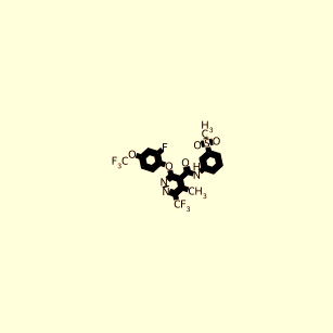 Cc1c(C(F)(F)F)nnc(Oc2ccc(OC(F)(F)F)cc2F)c1C(=O)Nc1cccc(S(C)(=O)=O)c1